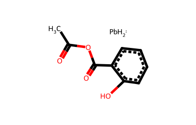 CC(=O)OC(=O)c1ccccc1O.[PbH2]